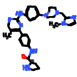 Cc1cnc(Nc2ccc(N3CCN(Cc4nccn4C)CC3)cc2)nc1-c1ccc(NC(=O)[C@H]2CCCN2)cc1